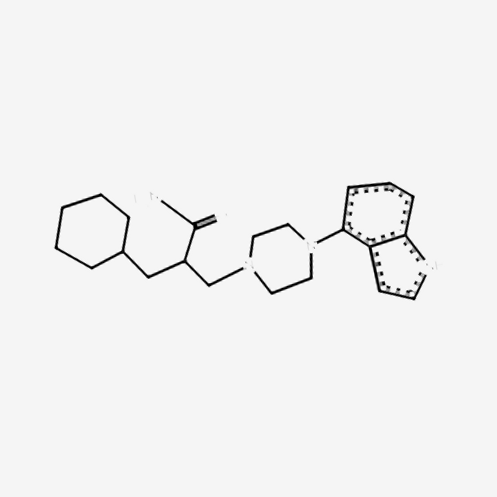 NC(=O)C(CC1CCCCC1)CN1CCN(c2cccc3[nH]ccc23)CC1